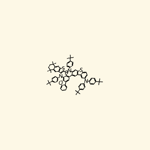 CC(C)(C)c1ccc(N2B3c4sc5cc6c(cc5c4N(c4ccc(C(C)(C)C)cc4)c4c3c(cc3c4oc4ccccc43)-c3cc4c(cc32)sc2ccc(N(c3ccc(C(C)(C)C)cc3)c3ccc(C(C)(C)C)cc3)cc24)C(C)(C)CCC6(C)C)cc1